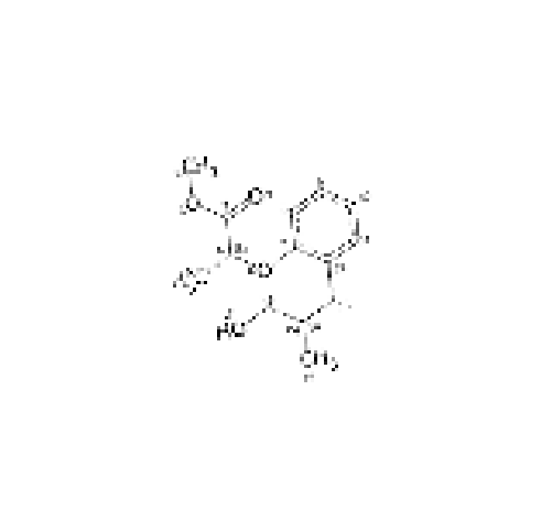 COC(=O)[C@@H](C)Oc1ccccc1C[C@H](C)CO